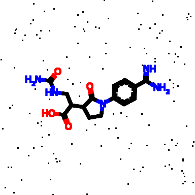 N=C(N)c1ccc(N2CCC(C(CNC(N)=O)C(=O)O)C2=O)cc1